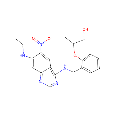 CCNc1cc2ncnc(NCc3ccccc3OC(C)CO)c2cc1[N+](=O)[O-]